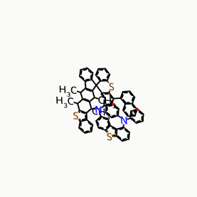 CC1C2=C3C(C)C4=C1C(C)c1sc5ccccc5c1C4(C)N(c1ccc4sc5cccc(N(c6ccccc6)c6ccccc6)c5c4c1)c1cc(-c4cccc5ccccc45)c4c(c1)C3(c1ccccc1S4)c1ccccc12